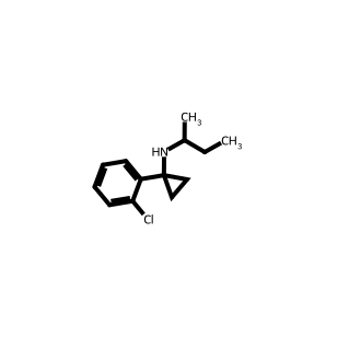 CCC(C)NC1(c2ccccc2Cl)CC1